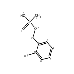 CP(=O)(O)OCc1ccccc1F